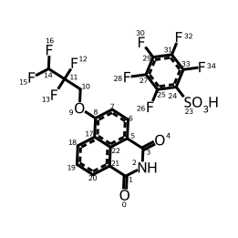 O=C1NC(=O)c2ccc(OCC(F)(F)C(F)F)c3cccc1c23.O=S(=O)(O)c1c(F)c(F)c(F)c(F)c1F